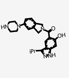 CC(C)c1n[nH]c2cc(O)c(C(=O)N3Cc4ccc(N5CCNCC5)cc4C3)cc12